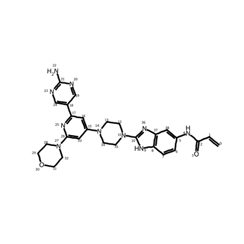 C=CC(=O)Nc1ccc2[nH]c(N3CCN(c4cc(-c5cnc(N)nc5)nc(N5CCOCC5)c4)CC3)nc2c1